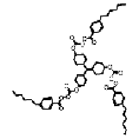 CCCCCCc1ccc(C(=O)OOC(=O)OC2CCC(C(C3CCC(OC(=O)OOC(=O)c4ccc(CCCCCC)cc4)CC3)C3CCC(OC(=O)OOC(=O)c4ccc(CCCCCC)cc4)CC3)CC2)cc1